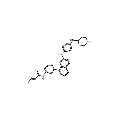 CC=CC(=O)Nc1cccc(-c2cccc3cnc(Nc4ccc(NC5CCN(C)CC5)cc4)nc23)c1